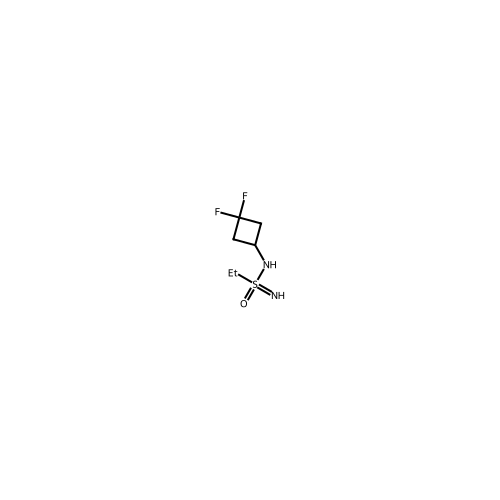 CCS(=N)(=O)NC1CC(F)(F)C1